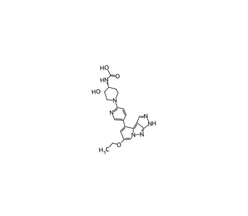 CCOc1cc(-c2ccc(N3CC[C@H](NC(=O)O)[C@@H](O)C3)nc2)c2c3cn[nH]c3nn2c1